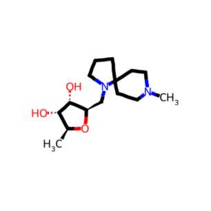 C[C@@H]1O[C@H](CN2CCCC23CCN(C)CC3)[C@@H](O)[C@H]1O